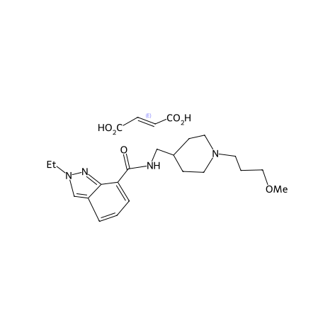 CCn1cc2cccc(C(=O)NCC3CCN(CCCOC)CC3)c2n1.O=C(O)/C=C/C(=O)O